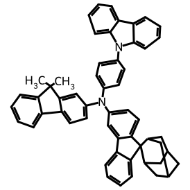 CC1(C)c2ccccc2-c2ccc(N(c3ccc(-n4c5ccccc5c5ccccc54)cc3)c3ccc4c(c3)-c3ccccc3C43C4CC5CC(C4)CC3C5)cc21